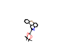 CC1(C)OB(c2cc3c4c(cccc4n2)Sc2ccccc2-3)OC1(C)C